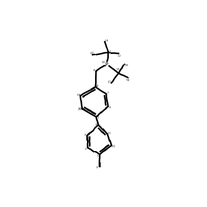 Cc1ccc(-c2ccc(CP(C(C)(C)C)C(C)(C)C)cc2)cc1